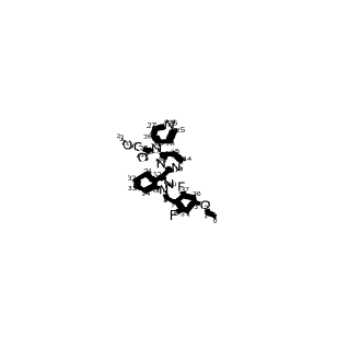 CCOc1cc(F)c(Cn2nc(-c3nccc(N(C(=O)COC)c4ccncc4)n3)c3ccccc32)c(F)c1